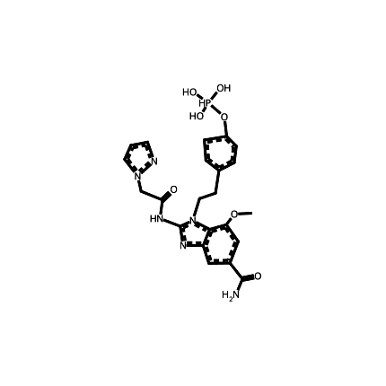 COc1cc(C(N)=O)cc2nc(NC(=O)Cn3cccn3)n(CCc3ccc(O[PH](O)(O)O)cc3)c12